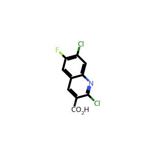 O=C(O)c1cc2cc(F)c(Cl)cc2nc1Cl